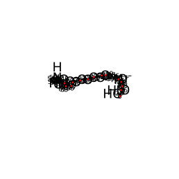 C=C(O)CNC(=O)c1ccc([S+]([O-])N2CCC(c3ccc(OCCOCCOCCOCCOCCOCCOc4cc(NC(=O)c5c[nH]c6ccccc6c5=O)c(C(C)(C)C)cc4C(C)(C)C)cc3)CC2)cc1